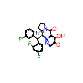 O=C1c2c(O)c(=O)cnn2[C@@H](C(c2cccc(F)c2)c2ccc(F)cc2F)[C@H]2CCCN12